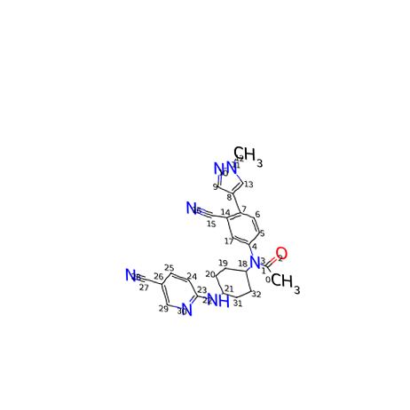 CC(=O)N(c1ccc(-c2cnn(C)c2)c(C#N)c1)C1CCC(Nc2ccc(C#N)cn2)CC1